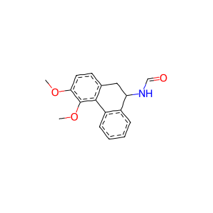 COc1ccc2c(c1OC)-c1ccccc1C(NC=O)C2